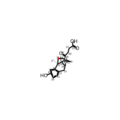 CN1CC[C@]2(C)c3cc(O)ccc3CC1[C@@H]2N(C)C(=O)CCC(=O)O